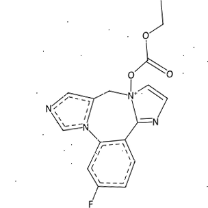 CCOC(=O)O[N+]12C=CN=C1c1ccc(F)cc1-n1cncc1C2